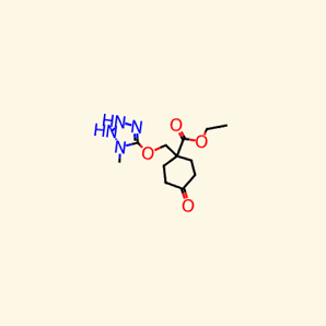 CCOC(=O)C1(COC2=NNNN2C)CCC(=O)CC1